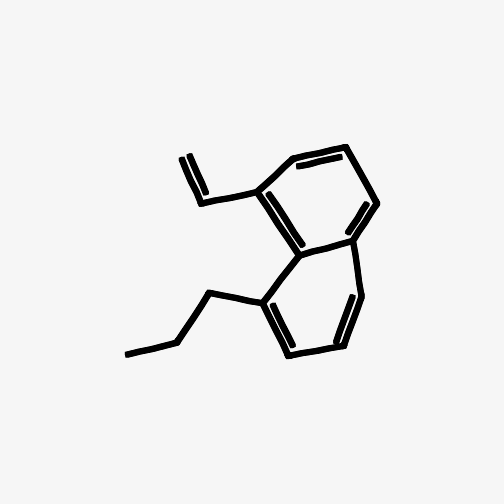 C=Cc1cccc2cccc(CCC)c12